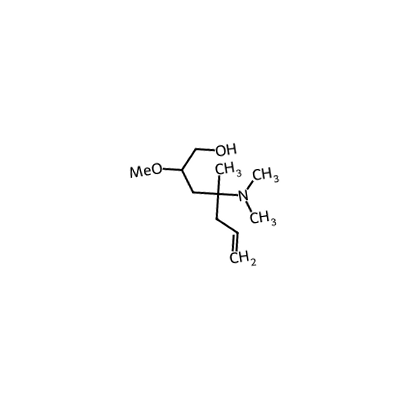 C=CCC(C)(CC(CO)OC)N(C)C